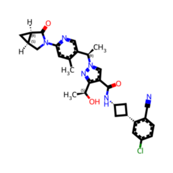 Cc1cc(N2C[C@H]3C[C@H]3C2=O)ncc1[C@@H](C)n1cc(C(=O)N[C@H]2C[C@@H](c3cc(Cl)ccc3C#N)C2)c([C@H](C)O)n1